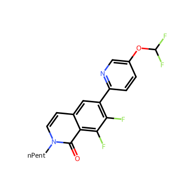 CCCCCn1ccc2cc(-c3ccc(OC(F)F)cn3)c(F)c(F)c2c1=O